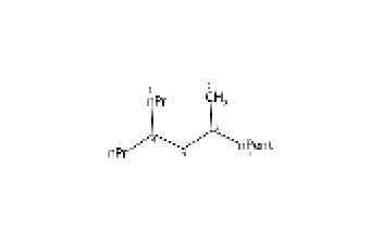 CCCCCC(C)CC(CCC)CCC